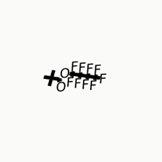 CC(C)(C)C(=O)OC(F)(F)C(F)(F)C(F)(F)C(F)(F)F